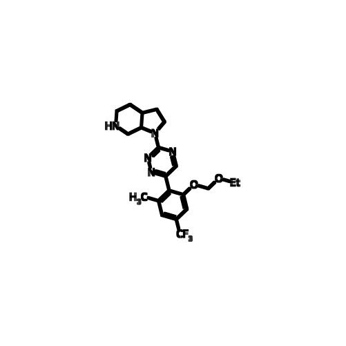 CCOCOc1cc(C(F)(F)F)cc(C)c1-c1cnc(N2CCC3CCNCC32)nn1